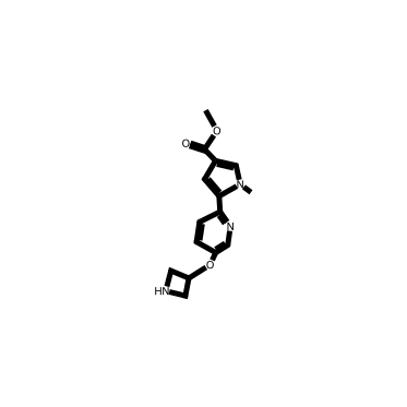 COC(=O)c1cc(-c2ccc(OC3CNC3)cn2)n(C)c1